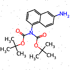 CC(C)(C)OC(=O)N(C(=O)OC(C)(C)C)c1cccc2cc(N)ccc12